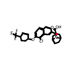 O=C(O)C1CC2CCC(C1)N2Cc1ccc2ccc(OC3CCC(C(F)(F)F)CC3)c(Cl)c2c1